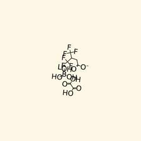 O=C(O)C(=O)O.O=C([O-])CC(C(F)(F)F)C(F)(F)F.OB(O)O.[Li+]